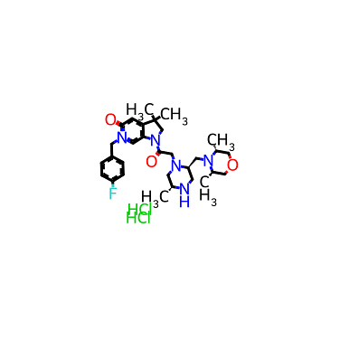 C[C@@H]1CN(CC(=O)N2CC(C)(C)c3cc(=O)n(Cc4ccc(F)cc4)cc32)[C@@H](CN2[C@H](C)COC[C@H]2C)CN1.Cl.Cl